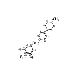 CC1CCC(c2ccc(COc3cc(F)c(C(F)(F)F)c(F)c3)cc2)CC1